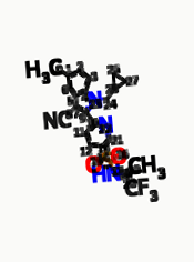 Cc1ccc2c(c1)c(C#N)c(-c1ccc(S(=O)(=O)N[C@@H](C)C(F)(F)F)cn1)n2CC1CC1